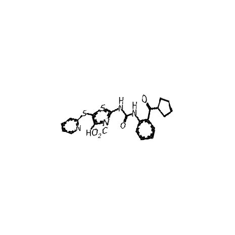 O=C(Nc1nc(C(=O)O)c(Sc2ccccn2)s1)Nc1ccccc1C(=O)C1CCCC1